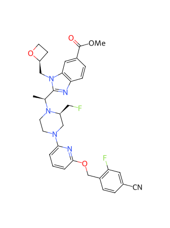 COC(=O)c1ccc2nc([C@H](C)N3CCN(c4cccc(OCc5ccc(C#N)cc5F)n4)C[C@@H]3CF)n(C[C@@H]3CCO3)c2c1